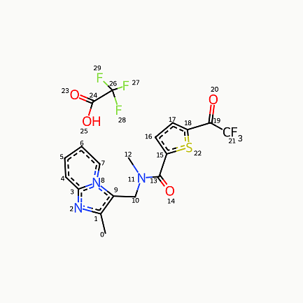 Cc1nc2ccccn2c1CN(C)C(=O)c1ccc(C(=O)C(F)(F)F)s1.O=C(O)C(F)(F)F